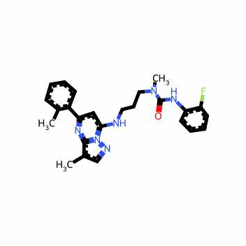 Cc1ccccc1-c1cc(NCCCN(C)C(=O)Nc2ccccc2F)n2ncc(C)c2n1